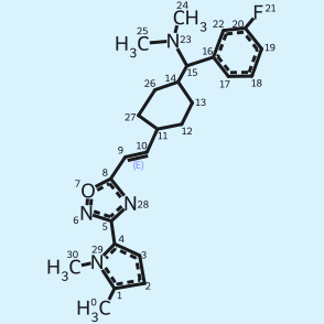 Cc1ccc(-c2noc(/C=C/C3CCC(C(c4cccc(F)c4)N(C)C)CC3)n2)n1C